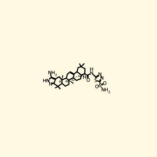 CC1(C)CC2C3=CCC4[C@@]5(C)Cc6c(n[nH]c6N)C(C)(C)C5CC[C@@]4(C)[C@]3(C)CC[C@@H]2[C@H](C(=O)Nc2nnc(S(N)(=O)=O)s2)C1